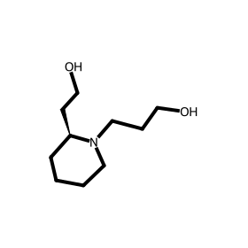 OCCCN1CCCC[C@H]1CCO